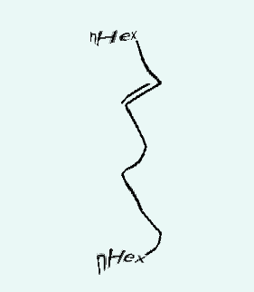 [CH2]CCCCCC=CCCCCCCCC[CH2]